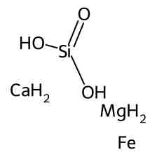 O=[Si](O)O.[CaH2].[Fe].[MgH2]